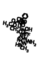 CNc1nc(N)nc2c1ncn2[C@@H]1O[C@H](CO[P@@](=O)(N[C@H](C)C(=O)OC(C)C)Oc2ccccc2)[C@@H](O)[C@]1(F)CF